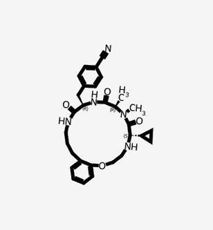 C[C@@H]1C(=O)N[C@H](Cc2ccc(C#N)cc2)C(=O)NCCCc2ccccc2OCCN[C@@H](C2CC2)C(=O)N1C